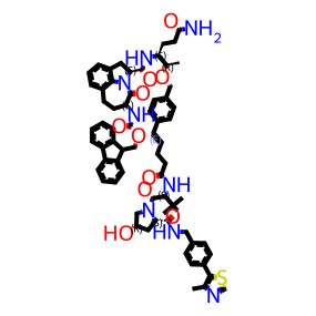 Cc1ncsc1-c1ccc(CNC(=O)[C@@H]2C[C@@H](O)CN2C(=O)[C@@H](NC(=O)CC/C=C/c2ccc(CO[C@H](C)[C@H](CCC(N)=O)NC(=O)[C@@H]3Cc4cccc5c4N3C(=O)[C@@H](NC(=O)OCC3c4ccccc4-c4ccccc43)CC5)cc2)C(C)(C)C)cc1